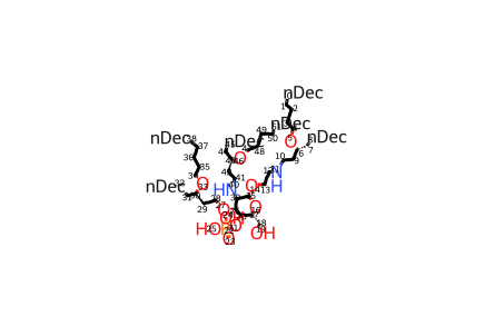 CCCCCCCCCCCCCCO[C@H](CCCCCCCCCCC)CCNCCO[C@@H]1O[C@H](CO)[C@@H](OP(=O)(O)O)[C@H](OCC[C@@H](CCCCCCCCCCC)OCCCCCCCCCCCCCC)[C@H]1NCC[C@@H](CCCCCCCCCCC)OCCCCCCCCCCCCCC